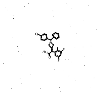 Cc1c(F)cc(F)cc1C(C(=O)O)=C1CN(C(c2ccccc2)c2ccc(Cl)cc2)C1